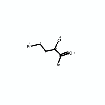 O=C(Br)C(Cl)CCBr